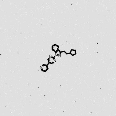 c1cncc(-c2cnc(-n3nc(CCC4CCCC4)c4ccccc43)nc2)c1